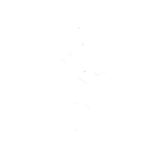 CCC(C1CC(F)(F)C1)n1cc(-c2nc(-c3cnn(CC(O)CO)c3)cn3nccc23)cn1